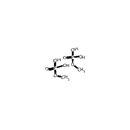 COP(=O)(O)O.COP(=O)(O)O